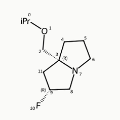 CC(C)OC[C@]12CCCN1C[C@H](F)C2